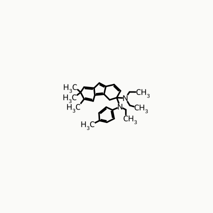 CCN(CC)C1(N(CC)c2ccc(C)cc2)C=CC2=CC3=CC(C)(C)C(C)=CC3=C2C1